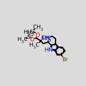 C[SiH2]OC(O[SiH2]C)C(C)(C)CC1NCCc2c1[nH]c1cc(Br)ccc21